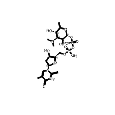 C=C1NC(=O)C(C)=CN1[C@H]1CC(O)[C@@H](COP(=O)(O)OP(=O)(O)O[C@H]2OC(C)[C@@H](O)[C@H](N(C)C)C2O)O1